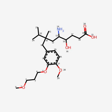 COCCCOc1cc(CC(C)(CC(N)C(O)CCC(=O)O)C(C)C)ccc1OC